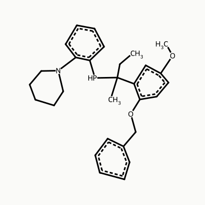 CCC(C)(Pc1ccccc1N1CCCCC1)c1cc(OC)ccc1OCc1ccccc1